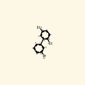 CCc1c[c]c(CC)c(-c2cccc(Br)c2)c1